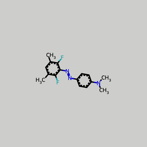 Cc1cc(C)c(F)c(/N=N/c2ccc(N(C)C)cc2)c1F